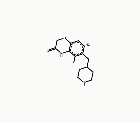 Cl.O=C1COc2ccc(CC3CCNCC3)c(F)c2N1